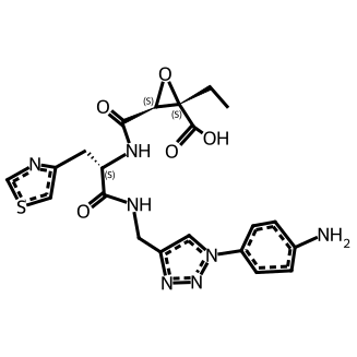 CC[C@]1(C(=O)O)O[C@@H]1C(=O)N[C@@H](Cc1cscn1)C(=O)NCc1cn(-c2ccc(N)cc2)nn1